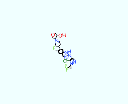 Cc1cc2cnc(Nc3cnn(C4CC4(F)F)c3Cl)nc2cc1[C@@H]1CCN([C@@H]2COC[C@@H]2O)C[C@H]1F